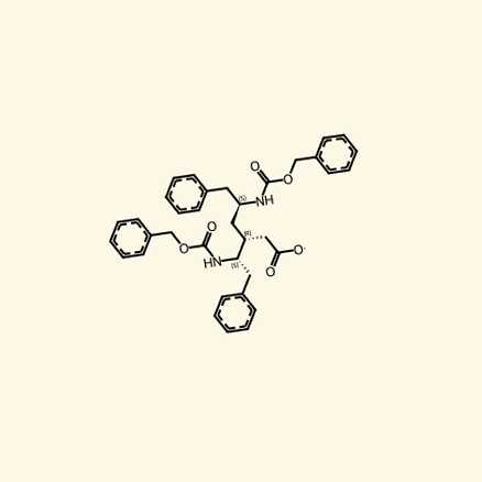 [O]C(=O)C[C@@H](C[C@@H](Cc1ccccc1)NC(=O)OCc1ccccc1)[C@H](Cc1ccccc1)NC(=O)OCc1ccccc1